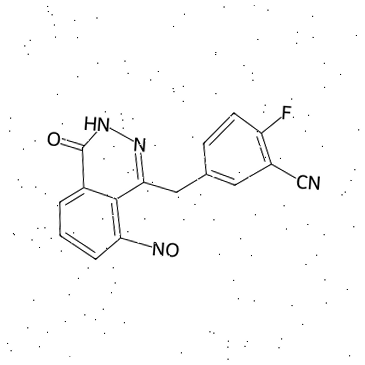 N#Cc1cc(Cc2n[nH]c(=O)c3cccc(N=O)c23)ccc1F